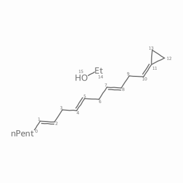 CCCCCC=CCC=CCC=CCC=C1CC1.CCO